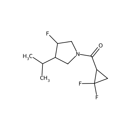 CC(C)C1CN(C(=O)C2CC2(F)F)CC1F